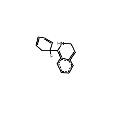 FC1(C2=c3ccccc3=CCN2)C=CC=CC1